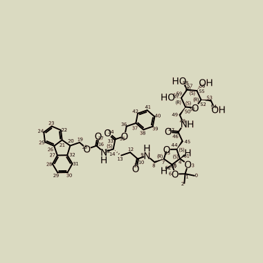 CC1(C)O[C@@H]2[C@H](O1)[C@@H](CNC(=O)CC[C@H](NC(=O)OCC1c3ccccc3-c3ccccc31)C(=O)OCc1ccccc1)O[C@H]2CC(=O)NC[C@@H]1O[C@H](CO)[C@@H](O)[C@H](O)[C@H]1O